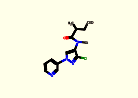 CCN(C(=O)C(C)CC=O)c1cn(-c2cccnc2)nc1Cl